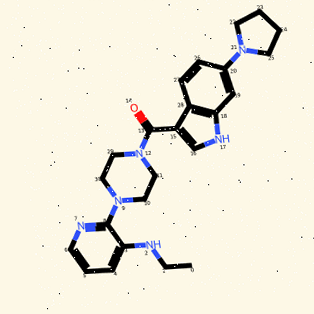 CCNc1cccnc1N1CCN(C(=O)c2c[nH]c3cc(N4CCCC4)ccc23)CC1